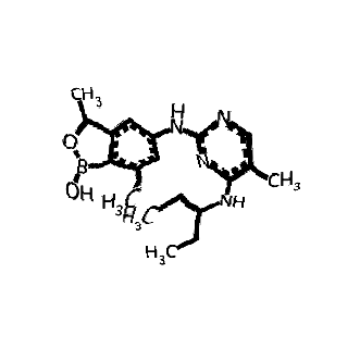 CCC(CC)Nc1nc(Nc2cc(C)c3c(c2)C(C)OB3O)ncc1C